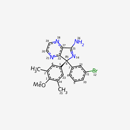 COc1c(C)cc([C@]2(c3cccc(Br)c3)N=C(N)c3nccnc32)cc1C